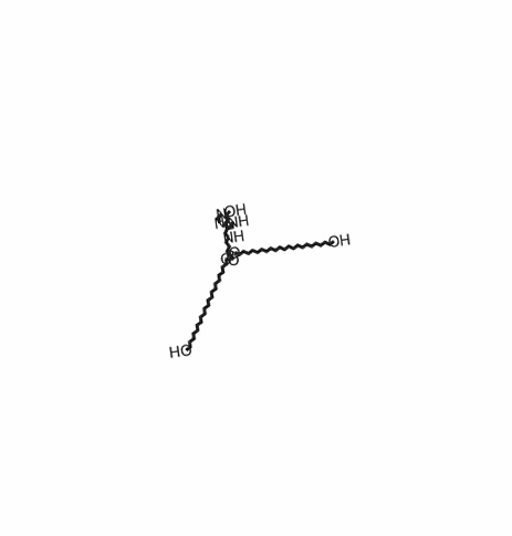 O=P(CCCNCc1c[nH]c2c(O)ncnc12)(OCCCCCCCCCCCCCCCCCCCCCO)OCCCCCCCCCCCCCCCCCCCCCO